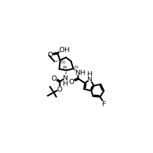 CC[C@]1(C(=O)O)CC[C@H](NC(=O)c2cc3cc(F)ccc3[nH]2)[C@H](NC(=O)OC(C)(C)C)C1